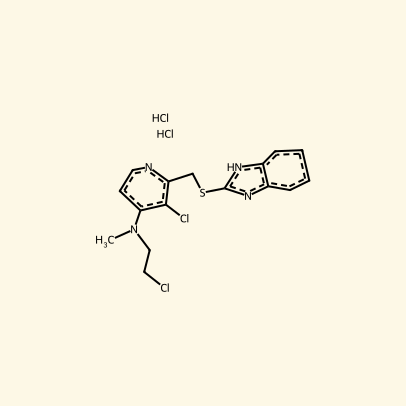 CN(CCCl)c1ccnc(CSc2nc3ccccc3[nH]2)c1Cl.Cl.Cl